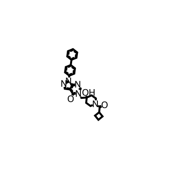 O=C(C1CCC1)N1CCC(O)(Cn2cnc3c(cnn3-c3ccc(-c4ccccc4)cc3)c2=O)CC1